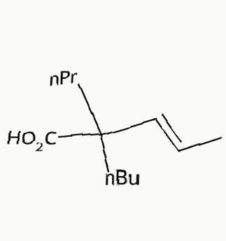 CC=CC(CCC)(CCCC)C(=O)O